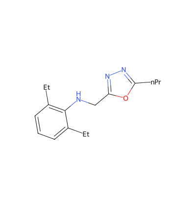 CCCc1nnc(CNc2c(CC)cccc2CC)o1